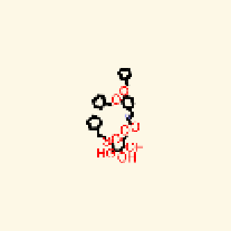 O=C(/C=C/c1ccc(OCc2ccccc2)c(OCc2ccccc2)c1)OCC1OC(OCCc2ccccc2)C(O)C(O)C1O